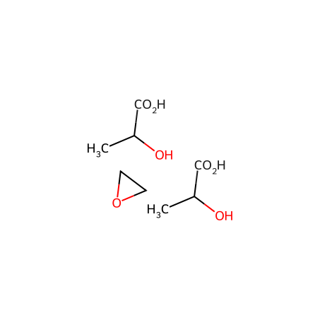 C1CO1.CC(O)C(=O)O.CC(O)C(=O)O